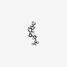 CCNc1ncc2c(n1)N(C)CCN(c1cccc(-c3nnc(COC(=O)NC)o3)c1)C2=O